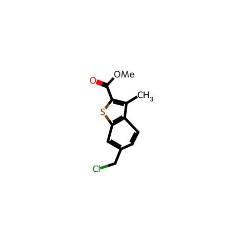 COC(=O)c1sc2cc(CCl)ccc2c1C